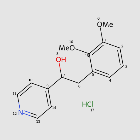 COc1cccc(CC(O)c2ccncc2)c1OC.Cl